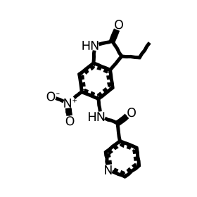 CCC1C(=O)Nc2cc([N+](=O)[O-])c(NC(=O)c3cccnc3)cc21